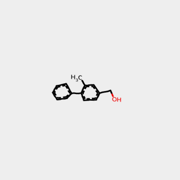 Cc1cc(CO)ccc1-c1ccccc1